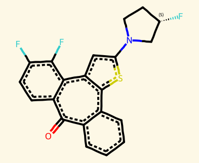 O=c1c2ccccc2c2sc(N3CC[C@H](F)C3)cc2c2c(F)c(F)ccc12